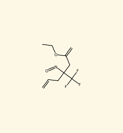 C=CCC(CC(=C)OCC)(N=O)C(F)(F)F